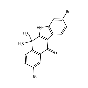 CCc1[c]cc2c(c1)C(=O)c1c([nH]c3cc(Br)ccc13)C2(C)C